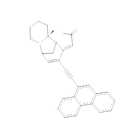 O=C1C=C2C(C#Cc3cc4ccccc4c4ccccc34)=CC3C[C@@]2(O1)[C@H]1CCCCN31